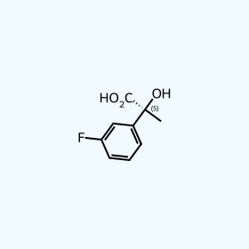 C[C@@](O)(C(=O)O)c1cccc(F)c1